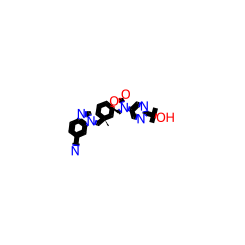 CC(C)(O)c1ncc(N2C[C@@]3(CCC[C@](C)(Cn4cnc5ccc(C#N)cc54)C3)OC2=O)cn1